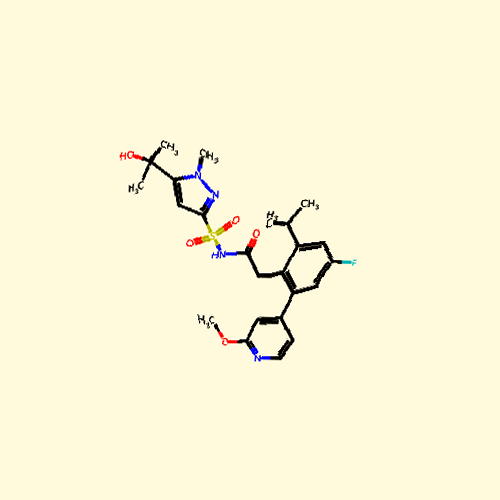 COc1cc(-c2cc(F)cc(C(C)C)c2CC(=O)NS(=O)(=O)c2cc(C(C)(C)O)n(C)n2)ccn1